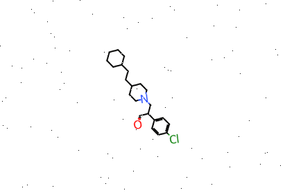 O=CC(CN1CCC(CCC2CCCCC2)CC1)c1ccc(Cl)cc1